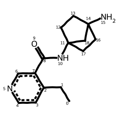 CCc1ccncc1C(=O)NC12CCC(N)(CC1)C2